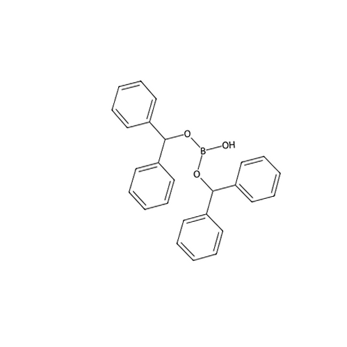 OB(OC(c1ccccc1)c1ccccc1)OC(c1ccccc1)c1ccccc1